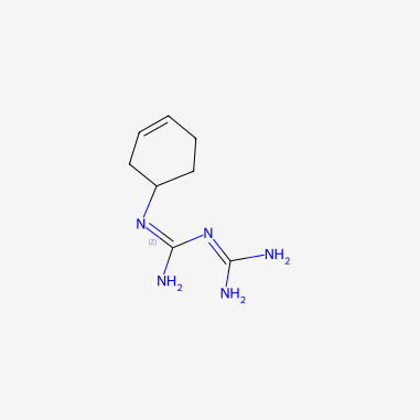 NC(N)=N/C(N)=N\C1CC=CCC1